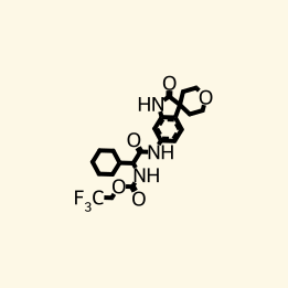 O=C(NC(C(=O)Nc1ccc2c(c1)NC(=O)C21CCOCC1)C1CCCCC1)OCC(F)(F)F